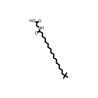 CC(C)(C)CCCCCCCCCCCCCCCCC(=O)NCC(=O)O